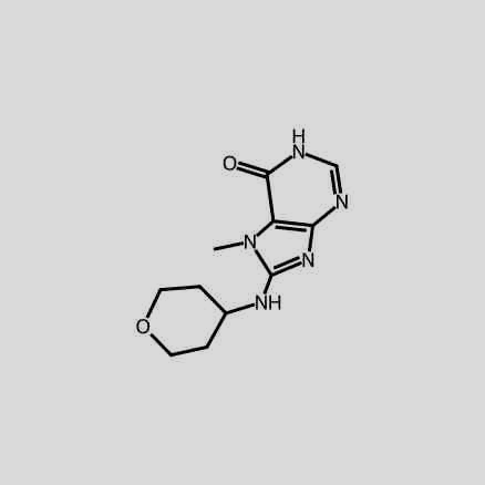 Cn1c(NC2CCOCC2)nc2nc[nH]c(=O)c21